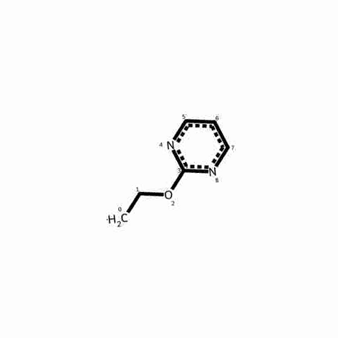 [CH2]COc1ncccn1